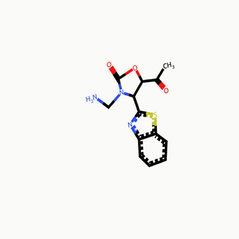 CC(=O)C1OC(=O)N(CN)C1c1nc2ccccc2s1